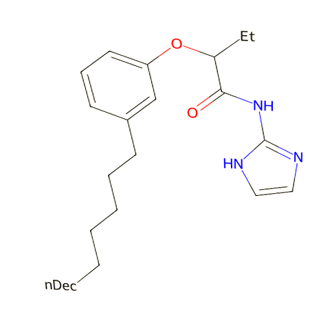 CCCCCCCCCCCCCCCc1cccc(OC(CC)C(=O)Nc2ncc[nH]2)c1